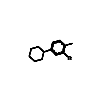 CCc1cc(C2CCCCC2)ccc1C